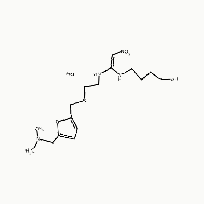 CN(C)Cc1ccc(CSCCNC(=C[N+](=O)[O-])NCCCCO)o1.Cl